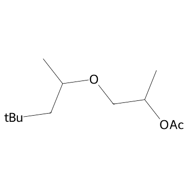 CC(=O)OC(C)COC(C)CC(C)(C)C